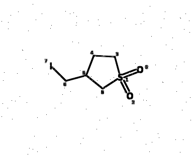 O=S1(=O)CCC(CI)C1